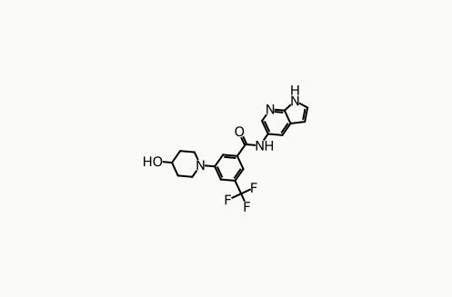 O=C(Nc1cnc2[nH]ccc2c1)c1cc(N2CCC(O)CC2)cc(C(F)(F)F)c1